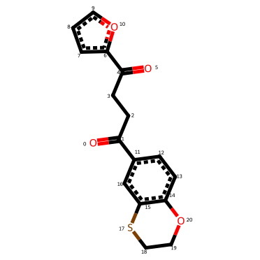 O=C(CCC(=O)c1ccco1)c1ccc2c(c1)SCCO2